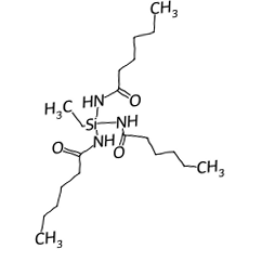 CCCCCC(=O)N[Si](CC)(NC(=O)CCCCC)NC(=O)CCCCC